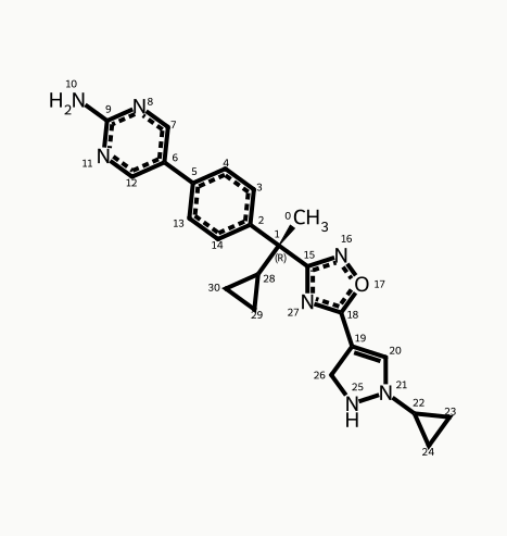 C[C@@](c1ccc(-c2cnc(N)nc2)cc1)(c1noc(C2=CN(C3CC3)NC2)n1)C1CC1